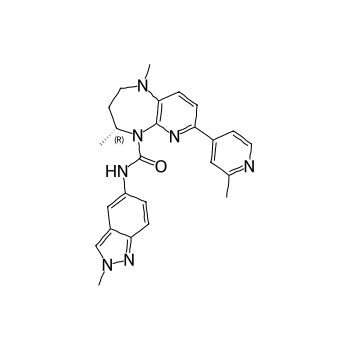 Cc1cc(-c2ccc3c(n2)N(C(=O)Nc2ccc4nn(C)cc4c2)[C@H](C)CCN3C)ccn1